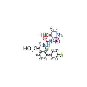 Cc1cn(C)c(=O)c(NC(=O)NCC(C(=O)O)c2cccc(-c3ccc(F)cc3)c2Cl)c1O